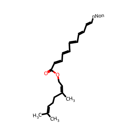 CCCCCCCCCC=CC=CC=CC=CC=CC(=O)OCC=C(C)CCC=C(C)C